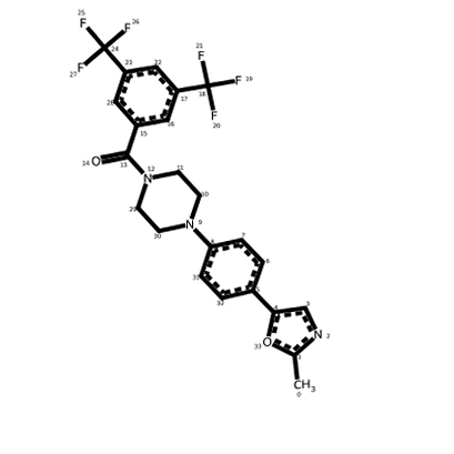 Cc1ncc(-c2ccc(N3CCN(C(=O)c4cc(C(F)(F)F)cc(C(F)(F)F)c4)CC3)cc2)o1